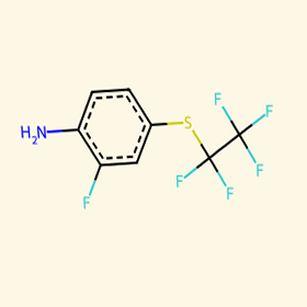 Nc1ccc(SC(F)(F)C(F)(F)F)cc1F